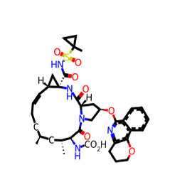 C[C@H]1CC/C=C\[C@@H]2C[C@@]2(C(=O)NS(=O)(=O)C2(C)CC2)NC(=O)[C@@H]2C[C@@H](Oc3nc4c(c5ccccc35)OCCC4)CN2C(=O)[C@@H](NC(=O)O)[C@H](C)C1